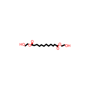 O=C(CCCCCCCCCCC(=O)OCCO)OCCO